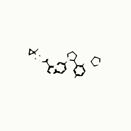 CC1(S(=O)(=O)NC(=O)c2cnc3ccc(N4CCCC4c4cc(F)ccc4O[C@@H]4CCOC4)cn23)CC1